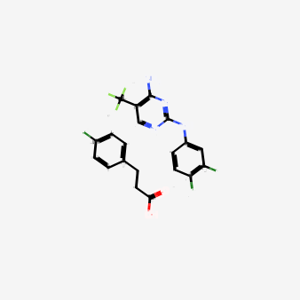 Nc1nc(Nc2ccc(Cl)c(Cl)c2)ncc1C(F)(F)F.O=C(O)CCc1ccc(Cl)cc1